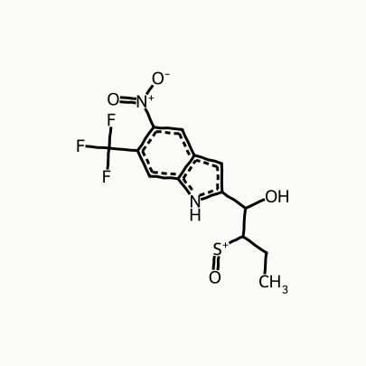 CCC([S+]=O)C(O)c1cc2cc([N+](=O)[O-])c(C(F)(F)F)cc2[nH]1